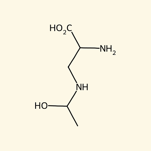 CC(O)NCC(N)C(=O)O